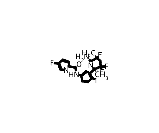 C[C@@]1(F)CC(F)(F)[C@@](C)(c2cc(NC(=O)c3ccc(F)cn3)ccc2F)N=C1N